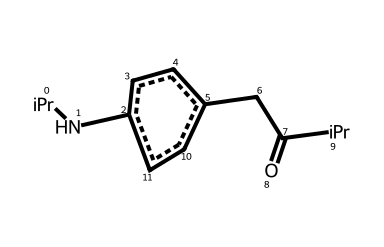 CC(C)Nc1ccc(CC(=O)C(C)C)cc1